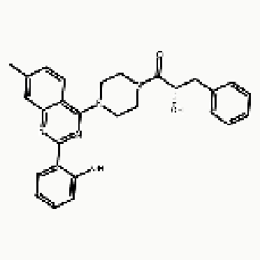 Cc1ccc2c(N3CCN(C(=O)[C@@H](O)Cc4ccccc4)CC3)nc(-c3ccccc3O)nc2c1